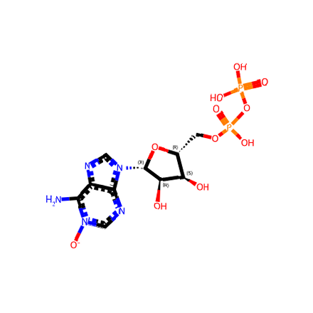 Nc1c2ncn([C@@H]3O[C@H](COP(=O)(O)OP(=O)(O)O)[C@@H](O)[C@H]3O)c2nc[n+]1[O-]